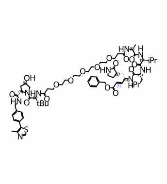 Cc1ncsc1-c1ccc(CNC(=O)[C@@H]2C[C@@H](O)CN2C(=O)[C@@H](NC(=O)CCOCCOCCOCCOCCOCCC(=O)N[C@@H](C)C(=O)N[C@H](C(=O)N[C@@H](CC(C)C)C(=O)N[C@H](/C=C/C(=O)OCc2ccccc2)C[C@@H]2CCNC2=O)C(C)C)C(C)(C)C)cc1